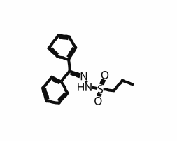 CCCS(=O)(=O)NN=C(c1ccccc1)c1ccccc1